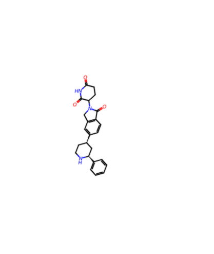 O=C1CCC(N2Cc3cc([C@@H]4CCN[C@H](c5ccccc5)C4)ccc3C2=O)C(=O)N1